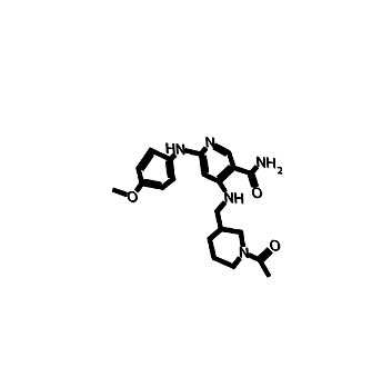 COc1ccc(Nc2cc(NCC3CCCN(C(C)=O)C3)c(C(N)=O)cn2)cc1